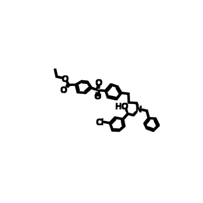 CCOC(=O)c1ccc(S(=O)(=O)c2ccc(CCCN(Cc3ccccc3)C[C@H](O)c3cccc(Cl)c3)cc2)cc1